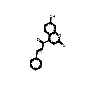 O=C(/C=C/c1ccccc1)c1cc(=O)oc2cc(O)ccc12